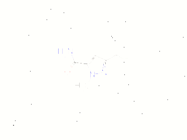 Cn1nc(CF)cc1C(N)=O